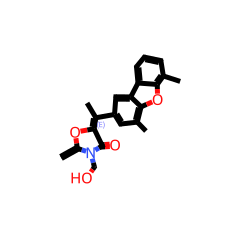 C=c1o/c(=C(\C)c2cc(C)c3oc4c(C)cccc4c3c2)c(=O)n1CO